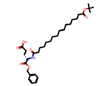 CC(C)(C)OC(=O)CCCCCCCCCCCCCCC(=O)N[C@@H](CCC(=O)O)C(=O)OCc1ccccc1